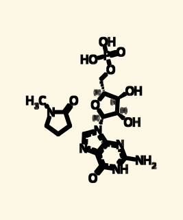 CN1CCCC1=O.Nc1nc2c(ncn2[C@@H]2O[C@H](COP(=O)(O)O)[C@@H](O)[C@H]2O)c(=O)[nH]1